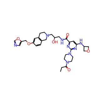 CCC(=O)N1CCN(c2nc(NC3COC3)cc(C(=O)NCC(O)CN3CCc4cc(OCc5cnco5)ccc4C3)n2)CC1